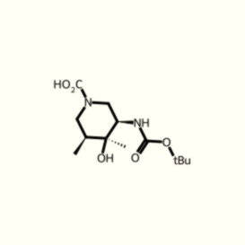 C[C@H]1CN(C(=O)O)C[C@@H](NC(=O)OC(C)(C)C)[C@@]1(C)O